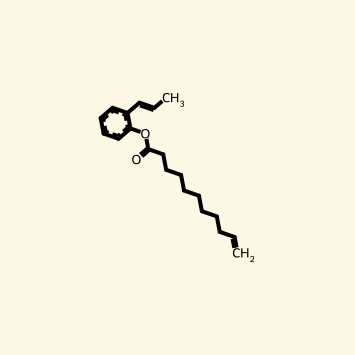 C=CCCCCCCCCC(=O)Oc1ccccc1C=CC